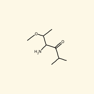 COC(C)C(N)C(=O)C(C)C